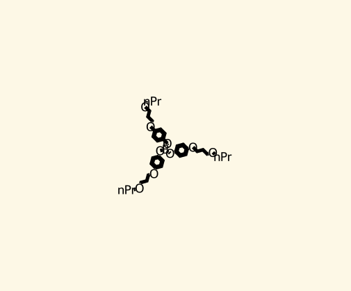 CCCOCCCOc1ccc(OB(Oc2ccc(OCCCOCCC)cc2)Oc2ccc(OCCCOCCC)cc2)cc1